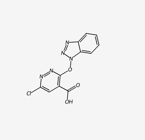 O=C(O)c1cc(Cl)nnc1On1nnc2ccccc21